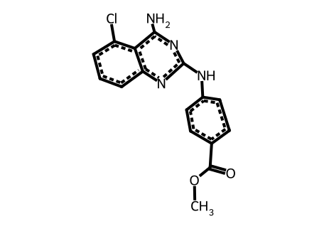 COC(=O)c1ccc(Nc2nc(N)c3c(Cl)cccc3n2)cc1